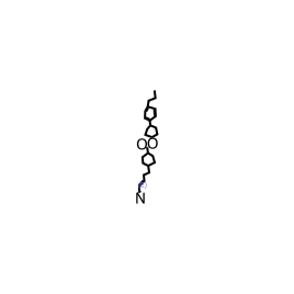 CCCc1ccc(C2CCC(OC(=O)C3CCC(CC/C=C/C#N)CC3)CC2)cc1